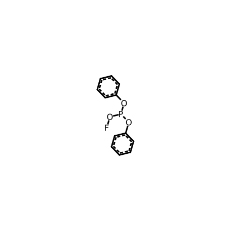 FOP(Oc1ccccc1)Oc1ccccc1